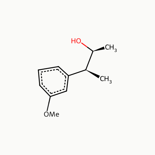 COc1cccc([C@H](C)[C@H](C)O)c1